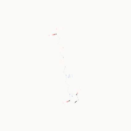 O=C(O)CCOCCOCCNCCCN1C(=O)C=CC1=O